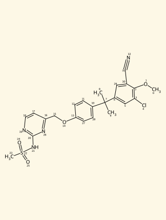 COc1c(Cl)cc(C(C)(C)c2ccc(OCc3ccnc(NS(C)(=O)=O)n3)cc2)cc1C#N